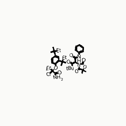 CC(C)(C)C(=O)C(C(=O)Nc1ccccc1)N1C(=O)OC(C)(C)C1=O.CCC(Cl)(Oc1ccc(C(C)(C)CC)cc1C(C)(C)CC)C(N)=O